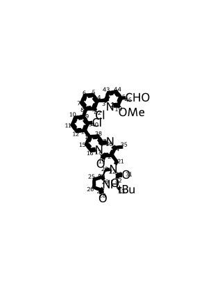 COc1nc(-c2cccc(-c3cccc(-c4ccn5c(=O)c(CN(C[C@@H]6CCC(=O)N6)C(=O)OC(C)(C)C)c(C)nc5c4)c3Cl)c2Cl)ccc1C=O